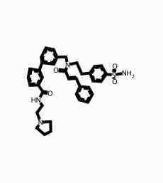 NS(=O)(=O)c1ccc(CCN(Cc2cccc(-c3cccc(C(=O)NCCN4CCCC4)c3)c2)C(=O)/C=C/c2ccccc2)cc1